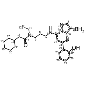 Bc1cnn2c(NCCCN(CF)C(=O)CC3CCCCC3)cc(-c3ccccc3O)nc12